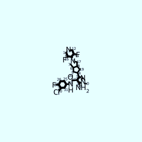 Cn1nc(C2CC3CN(c4c(F)cncc4F)CC3C2)c(C(=O)Nc2ccc(F)c(Cl)c2)c1N